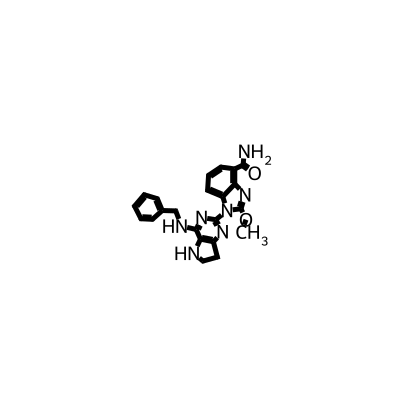 COc1nc2c(C(N)=O)cccc2n1-c1nc2c(c(NCc3ccccc3)n1)NCC2